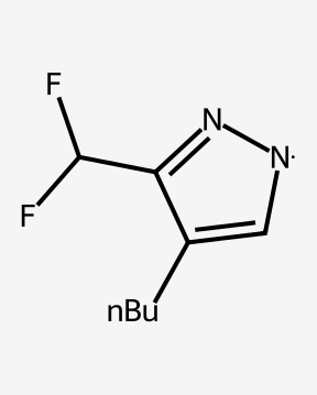 CCCCC1=C[N]N=C1C(F)F